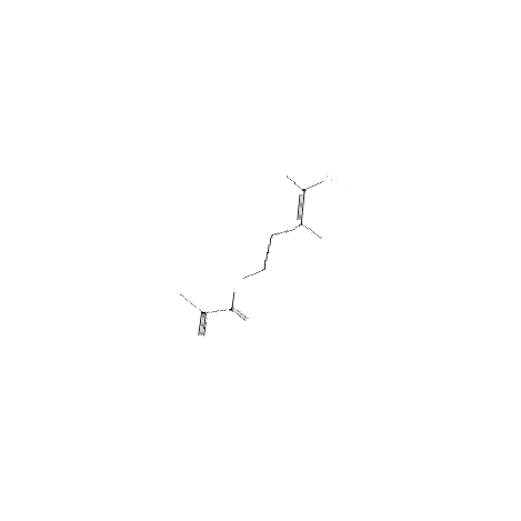 C=C(C)C(=O)OCCC(C)=C(N)C(=O)OCC